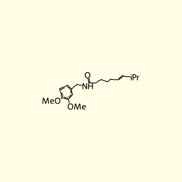 COc1ccc(CNC(=O)CCCC/C=C/C(C)C)cc1OC